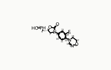 O=C1O[C@@H](CPO)CN1c1ccc(N2C=NOCC2)c(F)c1